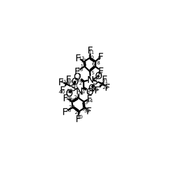 O=C(C(=O)N(c1c(F)c(F)c(F)c(F)c1F)S(=O)(=O)C(F)(F)F)N(c1c(F)c(F)c(F)c(F)c1F)S(=O)(=O)C(F)(F)F